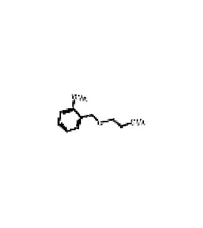 COCCOCc1ccccc1OC